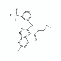 CCOC(=O)c1c(Oc2cccc(C(F)(F)F)c2)nnc2cc(F)ccc12